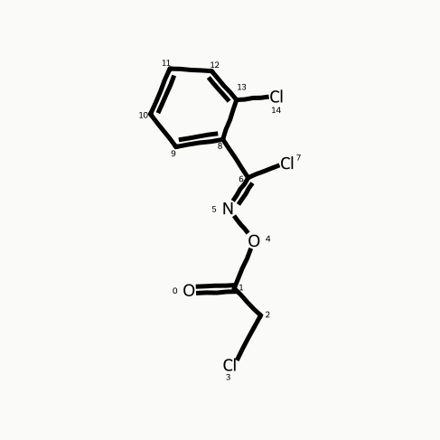 O=C(CCl)ON=C(Cl)c1ccccc1Cl